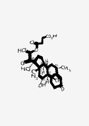 C[C@H]1C[C@@H]2[C@H]([C@H](O)C[C@@]3(C)[C@H]2CC[C@]3(O)C(=O)C(O)OC(=O)CCC(=O)O)[C@@]2(C)CCC(=O)C=C12